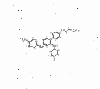 COCCOc1ccc(-c2cnc(NC3=NC=C(N)NC3)cc2NC2CCN(C)CC2)cc1